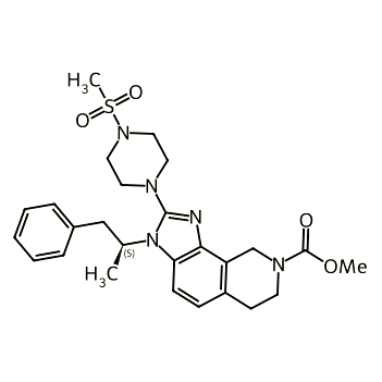 COC(=O)N1CCc2ccc3c(nc(N4CCN(S(C)(=O)=O)CC4)n3[C@@H](C)Cc3ccccc3)c2C1